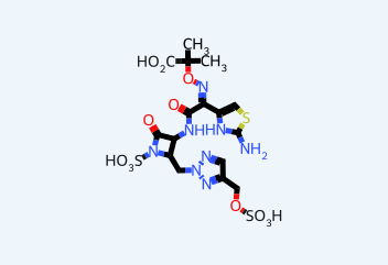 CC(C)(O/N=C(\C(=O)NC1C(=O)N(S(=O)(=O)O)C1Cn1ncc(COS(=O)(=O)O)n1)C1=CSC(N)N1)C(=O)O